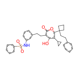 O=c1oc(C2(CCc3ccccc3)CCC2)c(C2CC2)c(O)c1CCc1cccc(NS(=O)(=O)c2ccccc2)c1